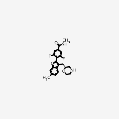 CNC(=O)c1cc(F)c(-c2oc3cc(C)ccc3c2C[C@H]2CNCCO2)c(F)c1